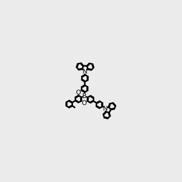 Cc1ccccc1-c1cc2c3c(c1)Oc1cc(-c4ccc(-n5c6ccccc6c6ccccc65)cc4)ccc1B3c1ccc(-c3ccc(-n4c5ccccc5c5ccccc54)cc3)cc1O2